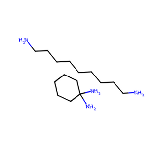 NC1(N)CCCCC1.NCCCCCCCCCN